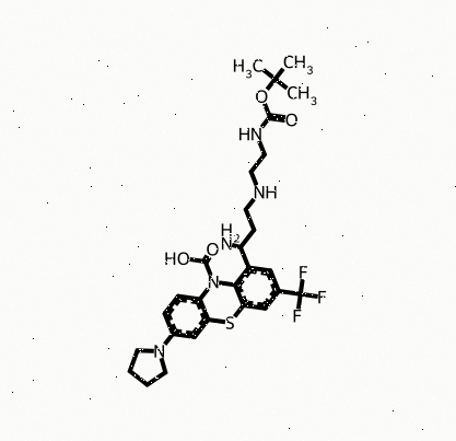 CC(C)(C)OC(=O)NCCNCCC(N)c1cc(C(F)(F)F)cc2c1N(C(=O)O)c1ccc(N3CCCC3)cc1S2